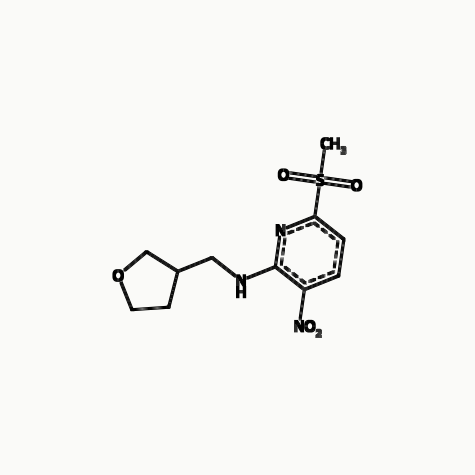 CS(=O)(=O)c1ccc([N+](=O)[O-])c(NCC2CCOC2)n1